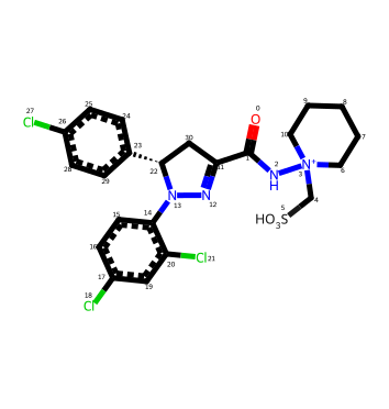 O=C(N[N+]1(CS(=O)(=O)O)CCCCC1)C1=NN(c2ccc(Cl)cc2Cl)[C@H](c2ccc(Cl)cc2)C1